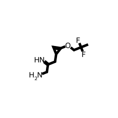 CC(F)(F)COC1=CC1CC(=N)CN